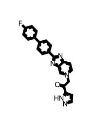 O=C(Cn1ccc2nc(-c3ccc(-c4ccc(F)cc4)cc3)nc-2c1)c1ccn[nH]1